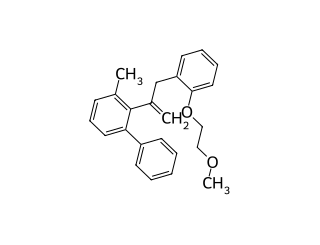 C=C(Cc1ccccc1OCCOC)c1c(C)cccc1-c1ccccc1